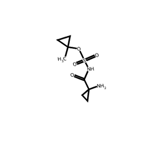 CC1(OS(=O)(=O)NC(=O)C2(N)CC2)CC1